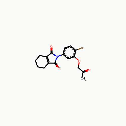 CC(=O)COc1cc(N2C(=O)C3=C(CCCC3)C2=O)ccc1Br